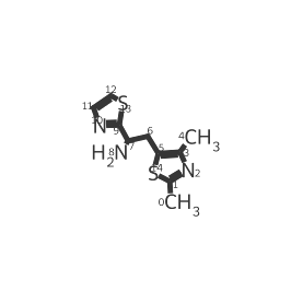 Cc1nc(C)c(CC(N)c2nccs2)s1